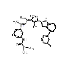 C=c1c(-c2cc3c(-c4cccc(F)c4)cccc3[nH]2)n[nH]/c1=C(C)/C=C(\C)c1cncc(NC(=O)C(C)C)c1